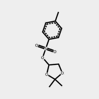 Cc1ccc(S(=O)(=O)OC2COC(C)(C)O2)cc1